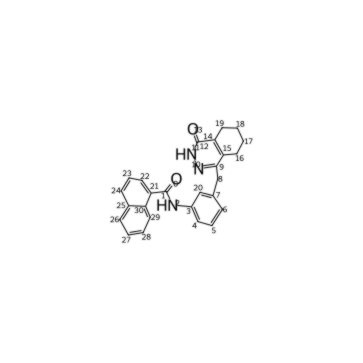 O=C(Nc1cccc(Cc2n[nH]c(=O)c3c2CCCC3)c1)c1cccc2ccccc12